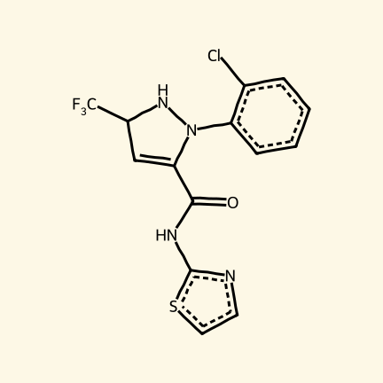 O=C(Nc1nccs1)C1=CC(C(F)(F)F)NN1c1ccccc1Cl